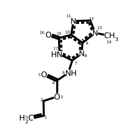 C=CCOC(=O)Nc1nc2c(ncn2C)c(=O)[nH]1